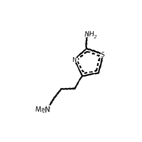 CNCCc1csc(N)n1